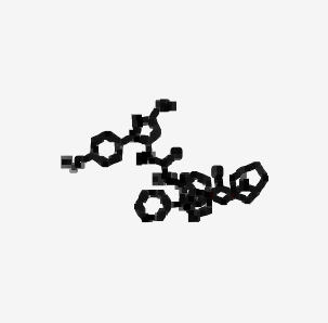 Cc1ccc(-n2nc(C(C)(C)C)cc2NC(=O)Nc2ccc(CC3CC4CCC(C3)N4CC(=O)c3cnn(-c4ccccc4)c3C)cc2)cc1